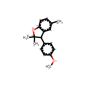 COc1ccc(C2c3cc(C)ccc3OC2(C)C)cc1